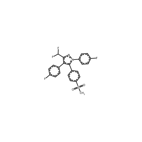 CS(=O)(=O)c1ccc(-c2c(-c3ccc(F)cc3)c(C(F)F)nn2-c2ccc(F)cc2)cc1